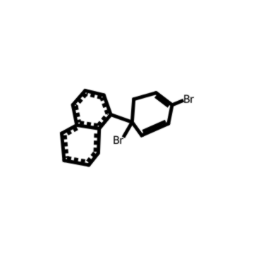 BrC1=CCC(Br)(c2cccc3ccccc23)C=C1